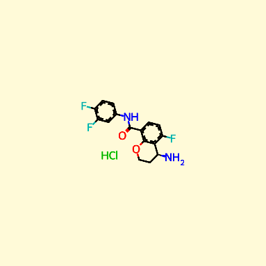 Cl.N[C@H]1CCOc2c(C(=O)Nc3ccc(F)c(F)c3)ccc(F)c21